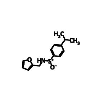 CC(C)c1ccc([S+]([O-])NCc2ccco2)cc1